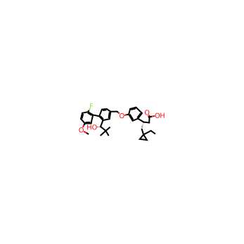 CCC1(C[C@@H](CC(=O)O)c2cccc(OCc3ccc(-c4cc(OC)ccc4F)c([C@@H](O)C(C)(C)C)c3)c2)CC1